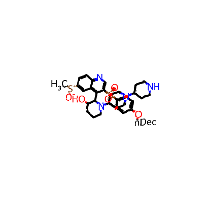 CCCCCCCCCCOc1ccc(S(=O)(=O)c2cnc3ccc([S+](C)[O-])cc3c2C2C(O)CCCN2C2CCN(C3CCNCC3)CC2)cc1